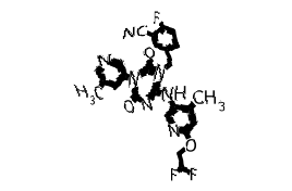 Cc1cncc(-n2c(=O)nc(Nc3cnc(OCC(F)F)cc3C)n(Cc3ccc(F)c(C#N)c3)c2=O)c1